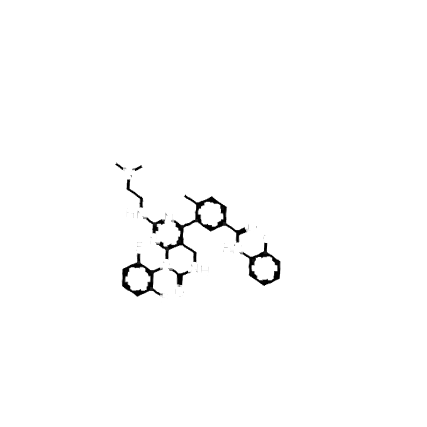 Cc1ccc(C(=O)Nc2ccccc2F)cc1-c1nc(NCCN(C)C)nc2c1CNC(=O)N2c1c(F)cccc1F